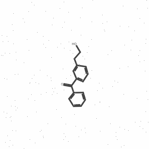 O=C(c1ccccc1)c1cccc(CCO)c1